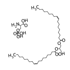 CCCCCCCC/C=C\CCCCCCCC(=O)OCC(CO)OC(=O)CCCCCCC/C=C\CCCCCCCC.NC(COP(=O)(O)O)C(=O)O